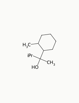 CC1CCCCC1C(C)(O)C(C)C